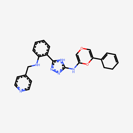 C1=CCCC(C2=COC=C(Nc3nnc(-c4ccccc4NCc4ccncc4)[nH]3)O2)=C1